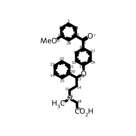 COc1cccc(C(=O)c2ccc(OC(CCN(C)CC(=O)O)c3ccccc3)cc2)c1